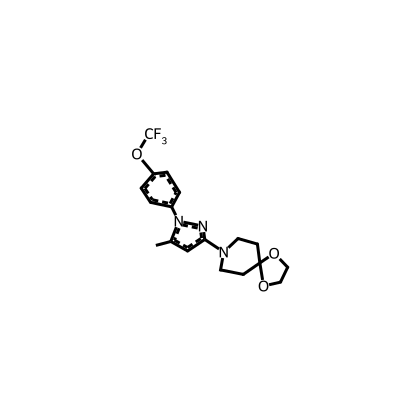 Cc1cc(N2CCC3(CC2)OCCO3)nn1-c1ccc(OC(F)(F)F)cc1